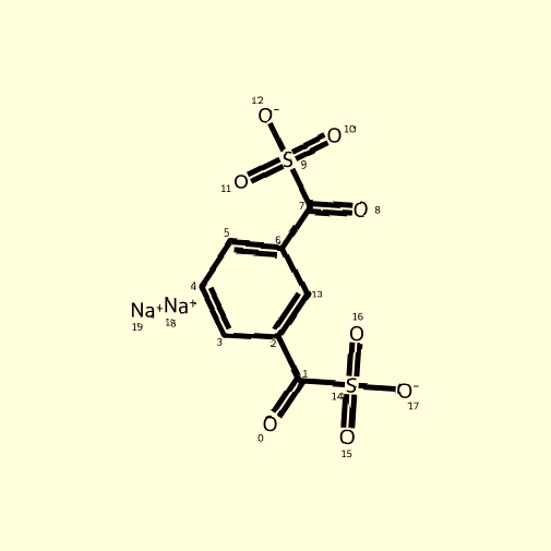 O=C(c1cccc(C(=O)S(=O)(=O)[O-])c1)S(=O)(=O)[O-].[Na+].[Na+]